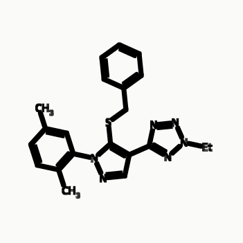 CCn1nnc(-c2cnn(-c3cc(C)ccc3C)c2SCc2ccccc2)n1